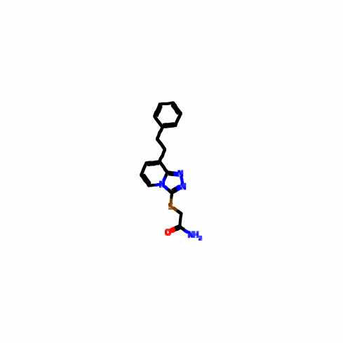 NC(=O)CSc1nnc2c(CCc3ccccc3)cccn12